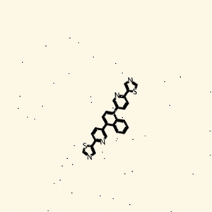 c1ccc2c(-c3ccc(-c4cncs4)nc3)ccc(-c3ccc(-c4cncs4)nc3)c2c1